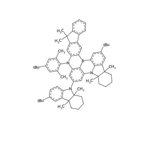 Cc1cc(C(C)(C)C)cc(C)c1N1c2cc3c(cc2B2c4cc(C(C)(C)C)cc5c4N(c4cc(N6c7ccc(C(C)(C)C)cc7C7(C)CCCCC67C)cc1c42)C1(C)CCCCC51C)-c1ccccc1C3(C)C